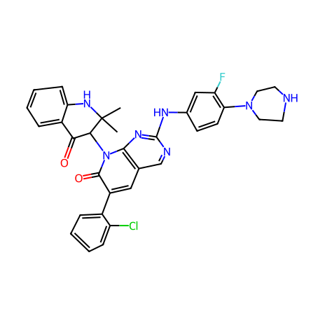 CC1(C)Nc2ccccc2C(=O)C1n1c(=O)c(-c2ccccc2Cl)cc2cnc(Nc3ccc(N4CCNCC4)c(F)c3)nc21